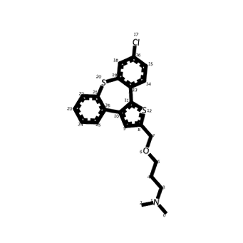 CN(C)CCCOCc1cc2c(s1)-c1ccc(Cl)cc1Sc1ccccc1-2